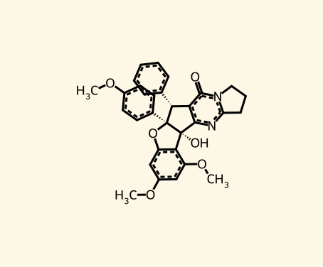 COc1ccc([C@@]23Oc4cc(OC)cc(OC)c4[C@]2(O)c2nc4n(c(=O)c2[C@H]3c2ccccc2)CCC4)cc1